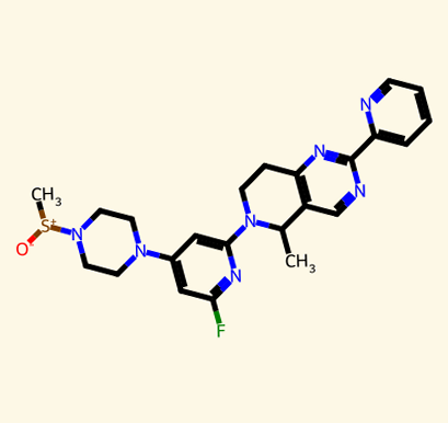 CC1c2cnc(-c3ccccn3)nc2CCN1c1cc(N2CCN([S+](C)[O-])CC2)cc(F)n1